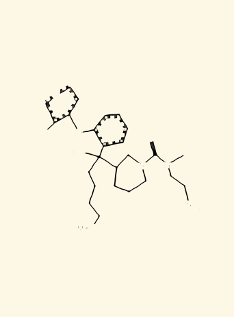 COCCCCC(O)(c1ccccc1Oc1ccccc1C)C1CCCN(C(=O)N(C)CCN)C1